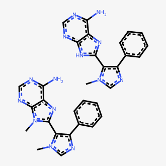 Cn1cnc(-c2ccccc2)c1-c1nc2c(N)ncnc2[nH]1.Cn1cnc(-c2ccccc2)c1-c1nc2c(N)ncnc2n1C